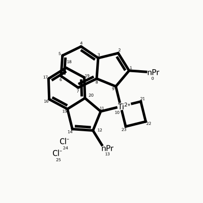 CCCC1=Cc2ccccc2[CH]1[Ti+2]1([CH]2C(CCC)=Cc3ccccc32)[CH2]C[CH2]1.[Cl-].[Cl-]